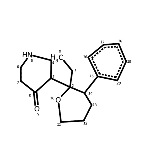 CCC1(C2CNCCC2=O)OCCCC1c1ccccc1